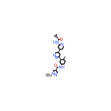 Cc1ccc(NC(=O)c2cnn(C(C)(C)C)c2)cc1-c1cc(-c2ccnc(NC(=O)C3CC3)c2)cnn1